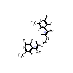 CC(=O)/C(=C(/C)[O][Cu][O]/C(C)=C(\C(C)=O)c1c(F)c(F)nc(C(F)(F)F)c1F)c1c(F)c(F)nc(C(F)(F)F)c1F